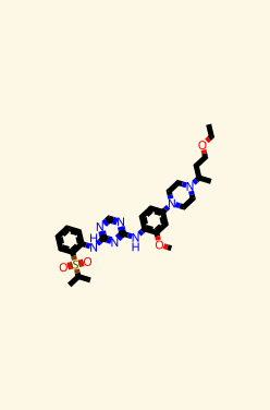 CCOCCC(C)N1CCN(c2ccc(Nc3ncnc(Nc4ccccc4S(=O)(=O)C(C)C)n3)c(OC)c2)CC1